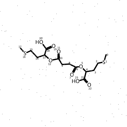 CSCCC(OC(=O)CCC(=O)OC(CCSC)C(=O)O)C(=O)O